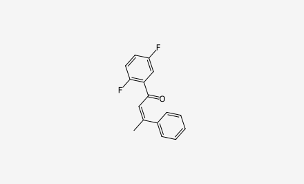 C/C(=C/C(=O)c1cc(F)ccc1F)c1ccccc1